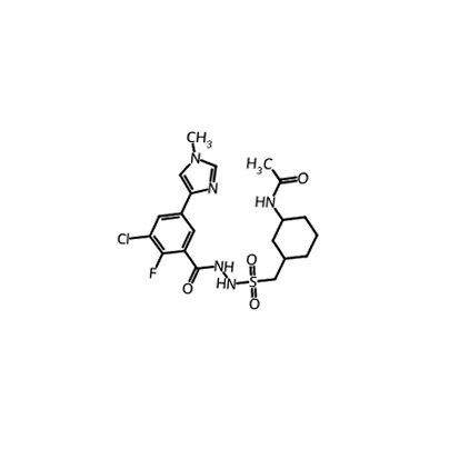 CC(=O)NC1CCCC(CS(=O)(=O)NNC(=O)c2cc(-c3cn(C)cn3)cc(Cl)c2F)C1